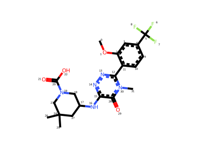 COc1cc(C(F)(F)F)ccc1-c1nnc(NC2CN(C(=O)O)CC(C)(C)C2)c(=O)n1C